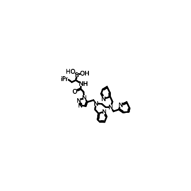 CC(C)CC(NC(=O)Cn1nncc1CN(CCN(Cc1ccccn1)Cc1ccccn1)Cc1ccccn1)B(O)O